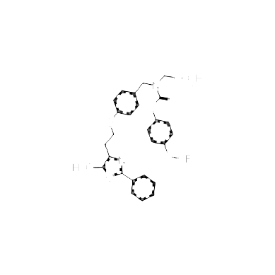 Cc1oc(-c2ccccc2)nc1CCOc1ccc(CN(CC(=O)O)C(=O)Oc2ccc(OC(F)(F)F)cc2)cc1